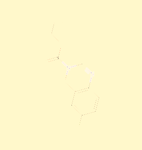 CCOC(=O)N1C=Nc2ccc(F)cc2S1